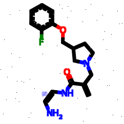 C=C(CN1CCC(COc2ccccc2F)C1)C(=O)N/C=C\N